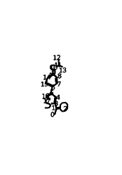 CC(=O)c1cc(-c2ccc(SC(C)C)cc2)cs1